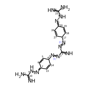 N=C(/N=N/C1C=CC(=NNC(=N)N)C=C1)/N=N/C1C=CC(=NNC(=N)N)C=C1